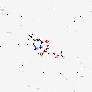 CC(C)OCCS(=O)(=O)N1N=CC(C(C)(C)C)=CB1O